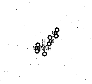 c1ccc(C2NC(c3ccc4oc5c(-c6cccc7c6oc6ccccc67)cccc5c4c3)NC(c3cccc4oc5ccccc5c34)N2)cc1